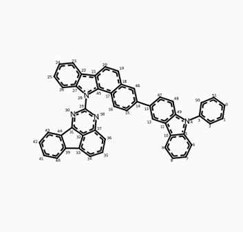 c1ccc(-n2c3ccccc3c3cc(-c4ccc5c(ccc6c7ccccc7n(-c7nc8c9c(cccc9n7)-c7ccccc7-8)c56)c4)ccc32)cc1